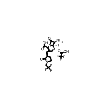 N[C@@H]1C(=O)N2C(C(=O)O)=C(C=C3CCN(CC(F)(F)F)C3=O)CS[C@H]12.O=C(O)C(F)(F)F